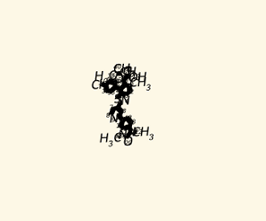 Cc1cc2nc(-c3ccnc(-c4ccc5c(c4)n(C)c(=O)n5C)c3)sc2c(-c2ccc(Cl)cc2)c1[C@H](OC(C)(C)C)C(=O)O